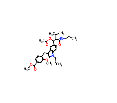 CCCNC(=O)C(C(C)C)C(OC(C)=O)c1ccc2c(c1)c(Cc1ccc(C(=O)OC)cc1OC)cn2CCC